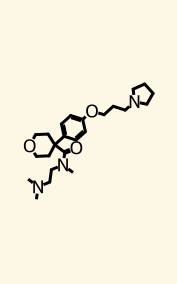 CN(C)CCN(C)C(=O)C1(c2ccc(OCCCN3CCCC3)cc2)CCOCC1